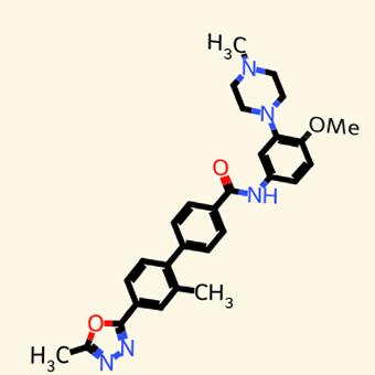 COc1ccc(NC(=O)c2ccc(-c3ccc(-c4nnc(C)o4)cc3C)cc2)cc1N1CCN(C)CC1